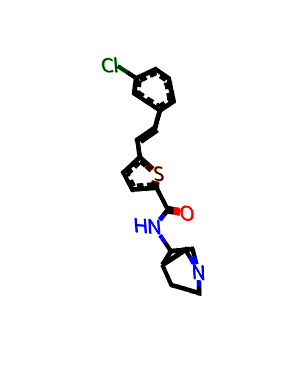 O=C(NC1CN2CCC1C2)c1ccc(C=Cc2cccc(Cl)c2)s1